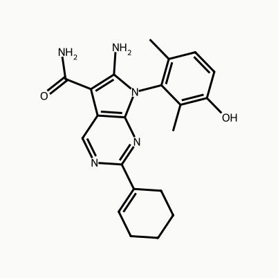 Cc1ccc(O)c(C)c1-n1c(N)c(C(N)=O)c2cnc(C3=CCCCC3)nc21